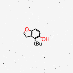 CC(C)(C)c1c(O)ccc2c1CCO2